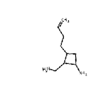 C=CCCC1CC(N)C1CN